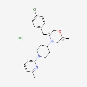 Cc1cccc(N2CCC(N3C[C@H](C)OC[C@@H]3Cc3ccc(Cl)cc3)CC2)n1.Cl